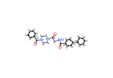 O=C(NCC(=O)N1CCN(C(=O)c2ccccc2)CC1)c1ccc(-c2ccccc2)cc1